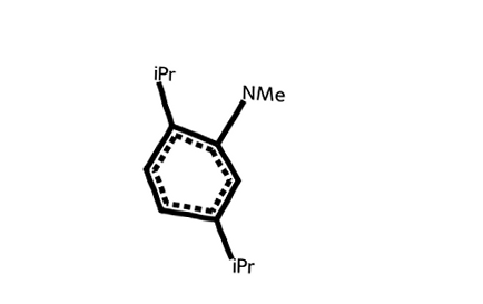 CNc1cc(C(C)C)ccc1C(C)C